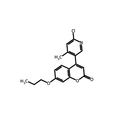 CCCOc1ccc2c(-c3cnc(Cl)cc3C)cc(=O)oc2c1